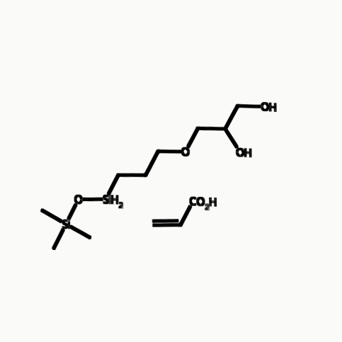 C=CC(=O)O.C[Si](C)(C)O[SiH2]CCCOCC(O)CO